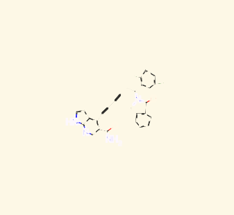 NC(=O)c1cnc2[nH]ccc2c1C#CC#CCC(c1cc(F)ccc1F)N1Cc2ccccc2C1=O